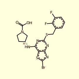 O=C(O)N1CC[C@@H](Nc2nc(SCc3cccc(F)c3F)nc3nc(Br)sc23)C1